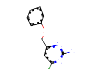 Nc1nc(Cl)cc(COc2ccccc2)n1